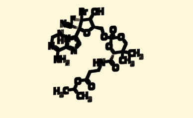 CC(C)OC(=O)CCNC(=O)[C@@H]1OP(=O)(OC[C@H]2O[C@@](C#N)(c3cnc4n3NCN=C4N)[C@@](F)(Br)C2O)OCC1(C)C